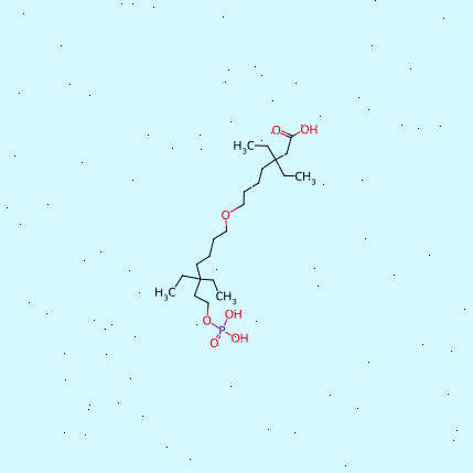 CCC(CC)(CCCCOCCCCC(CC)(CC)CC(=O)O)CCOP(=O)(O)O